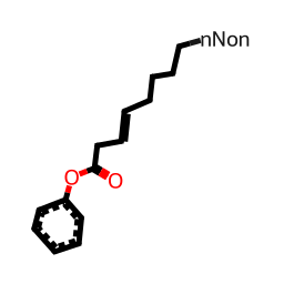 CCCCCCCCCCCCCC=CCC(=O)Oc1ccccc1